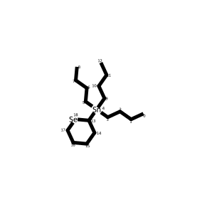 CCC[CH2][Sn]([CH2]CCC)([CH2]CCC)[CH]1CCCC[Se]1